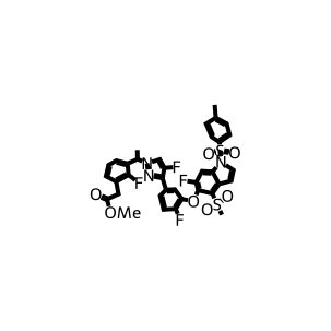 COC(=O)Cc1cccc(C(C)n2cc(F)c(-c3ccc(F)c(Oc4c(F)cc5c(ccn5S(=O)(=O)c5ccc(C)cc5)c4S(C)(=O)=O)c3)n2)c1F